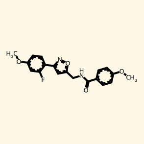 COc1ccc(C(=O)NCc2cc(-c3ccc(OC)cc3F)no2)cc1